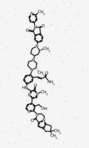 Cc1cc(N2C(=O)c3ccc(N4CCC(N5CCN(c6ccc(Nc7nc(-c8ccnc(N9CCn%10c(cc%11c%10CC(C)(C)C%11)C9=O)c8CO)cn(C)c7=O)cc6C=CC(N)=O)[C@@H](C)C5)C[C@@H]4C)cc3C2=O)ccn1